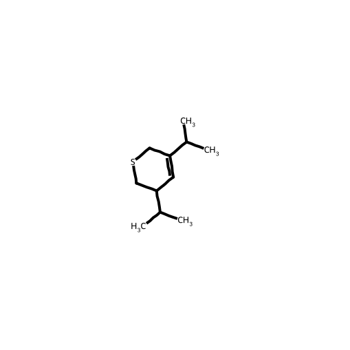 CC(C)C1=CC(C(C)C)CSC1